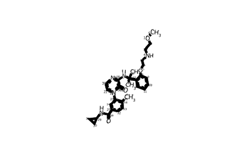 COCCNCCOc1ccccc1C(C)(C)Nc1nccn(-c2cc(C(=O)NC3CC3)ccc2C)c1=O